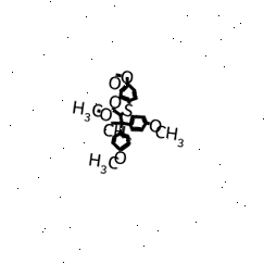 CCC(c1ccc(OC)cc1)(c1ccc(OC)cc1)C(Sc1ccc2c(c1)OCO2)C(=O)OC